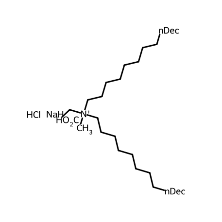 CCCCCCCCCCCCCCCCCC[N+](C)(CCCCCCCCCCCCCCCCCC)CC(=O)O.Cl.[NaH]